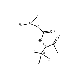 CC(=O)[C@@H](NC(=O)C1CC1C)C(C)(C)C